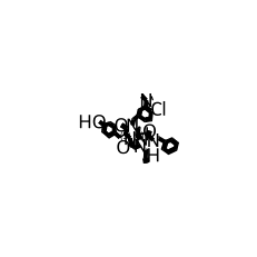 C#CCN1CC(=O)N2[C@@H](Cc3ccc(O)cc3)C(=O)N(Cc3ccc(Cl)c(N(C)C)c3)C[C@@H]2N1C(=O)NCc1ccccc1